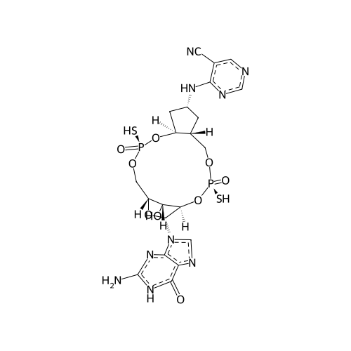 N#Cc1cncnc1N[C@@H]1C[C@@H]2CO[P@@](=O)(S)O[C@@H]3[C@H](O)[C@@H](CO[P@@](=O)(S)O[C@H]2C1)O[C@H]3n1cnc2c(=O)[nH]c(N)nc21